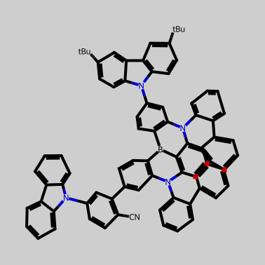 CC(C)(C)c1ccc2c(c1)c1cc(C(C)(C)C)ccc1n2-c1ccc2c(c1)N(c1ccccc1-c1ccccc1)c1cccc3c1B2c1ccc(-c2cc(-n4c5ccccc5c5ccccc54)ccc2C#N)cc1N3c1ccccc1-c1ccccc1